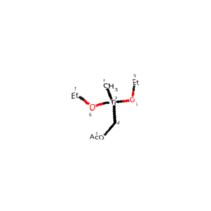 CC[O][Ti]([CH3])([CH2]OC(C)=O)[O]CC